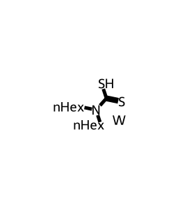 CCCCCCN(CCCCCC)C(=S)S.[W]